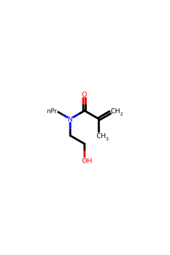 C=C(C)C(=O)N(CCC)CCO